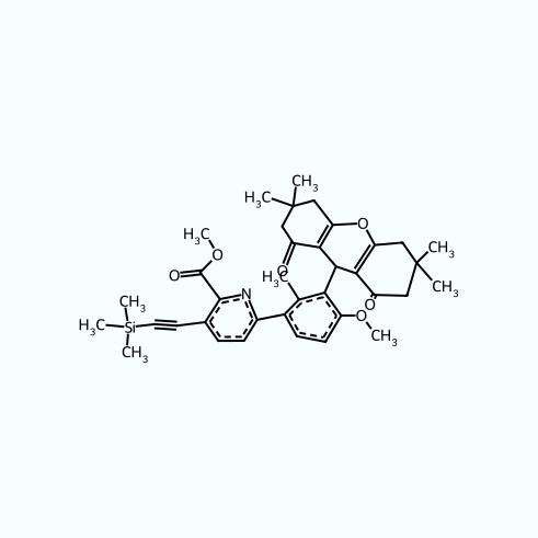 COC(=O)c1nc(-c2ccc(OC)c(C3C4=C(CC(C)(C)CC4=O)OC4=C3C(=O)CC(C)(C)C4)c2C)ccc1C#C[Si](C)(C)C